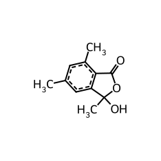 Cc1cc(C)c2c(c1)C(C)(O)OC2=O